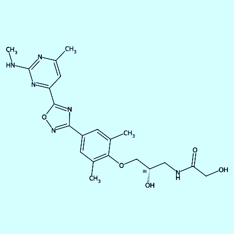 CNc1nc(C)cc(-c2nc(-c3cc(C)c(OC[C@@H](O)CNC(=O)CO)c(C)c3)no2)n1